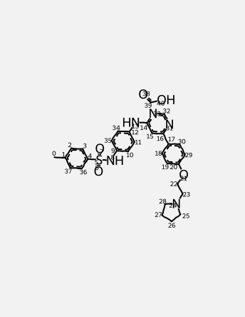 Cc1ccc(S(=O)(=O)Nc2ccc(Nc3cc(-c4ccc(OCCN5CCCC5)cc4)ncn3)cc2)cc1.O=CO